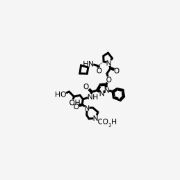 O=C(NC(CC(O)CO)C(=O)N1CCN(C(=O)O)CC1)c1cc(OCC(=O)N2CCC[C@H]2C(=O)NC2CCC2)n(-c2ccccc2)n1